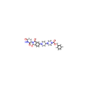 O=C1CCC(N2C(=O)c3ccc(N4CCC(N5CCN(C(=O)OCc6ccccc6)CC5)CC4)cc3C2=O)C(=O)N1